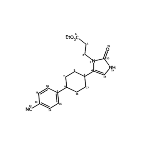 CCOC(=O)CCn1c(C2CCC(c3ccc(C#N)cc3)CC2)c[nH]c1=O